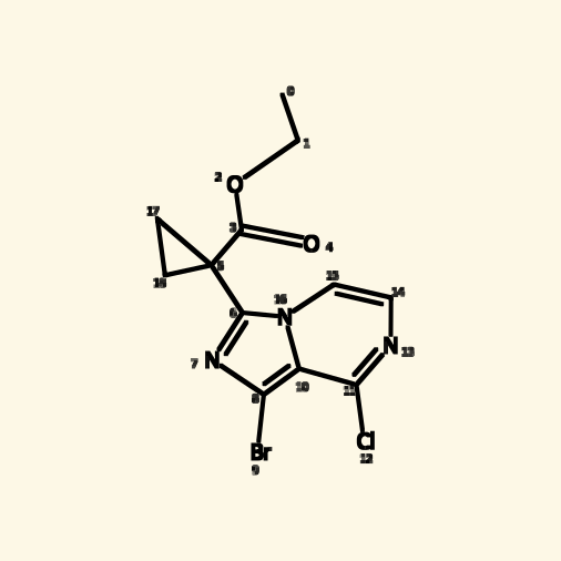 CCOC(=O)C1(c2nc(Br)c3c(Cl)nccn23)CC1